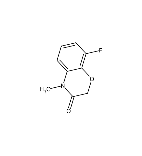 CN1C(=O)COc2c(F)cccc21